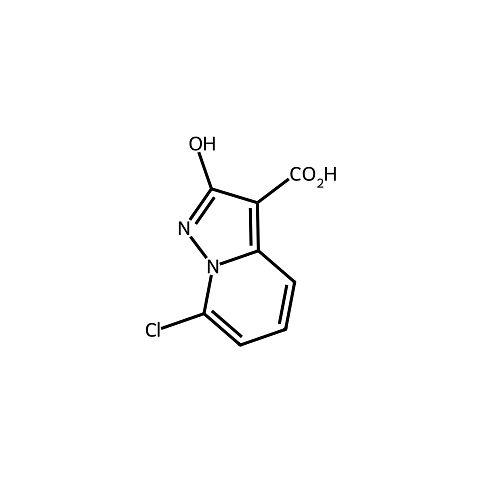 O=C(O)c1c(O)nn2c(Cl)cccc12